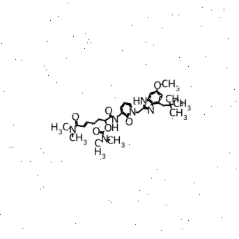 COc1cc(CC(C)(C)C)c2nc(Cn3cccc(NC(=O)C(CCC=CC(=O)N(C)C)OC(=O)N(C)C)c3=O)[nH]c2c1